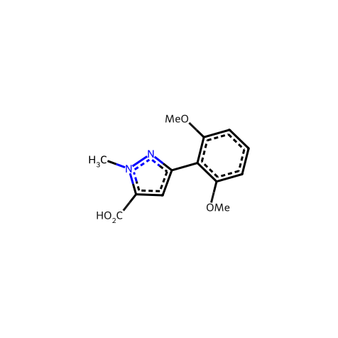 COc1cccc(OC)c1-c1cc(C(=O)O)n(C)n1